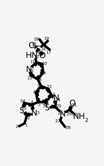 CCc1nc(-c2cc(-c3ccc(NS(=O)(=O)C(C)(C)C)nc3)cc3nc(N(CC)C(N)=O)sc23)cs1